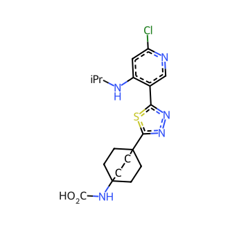 CC(C)Nc1cc(Cl)ncc1-c1nnc(C23CCC(NC(=O)O)(CC2)CC3)s1